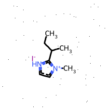 CCC(C)c1[nH]cc[n+]1C.[I-]